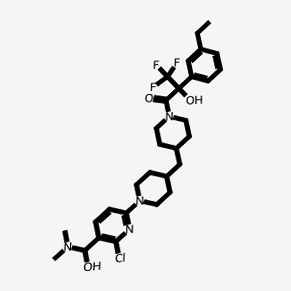 CCc1cccc(C(O)(C(=O)N2CCC(CC3CCN(c4ccc(C(O)N(C)C)c(Cl)n4)CC3)CC2)C(F)(F)F)c1